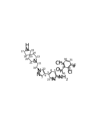 C[C@@H](Oc1cc(-c2cnn(CCN3CCC4(CCNC4)CC3)c2)cnc1N)c1c(Cl)ccc(F)c1Cl